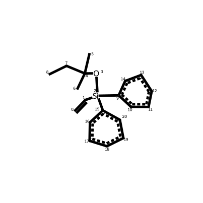 C=C[Si](OC(C)(C)CC)(c1ccccc1)c1ccccc1